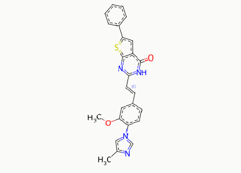 COc1cc(/C=C/c2nc3sc(-c4ccccc4)cc3c(=O)[nH]2)ccc1-n1cnc(C)c1